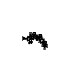 CN(C)c1cc(C2CC2)cc2c1nc(C(=O)N1CCN(C3CCC(O[Si](C)(C)C(C)(C)C)CC3)C(=O)C1)n2C